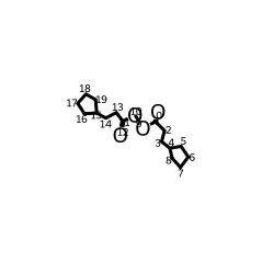 O=C(CCC1CCCC1)OOC(=O)CCC1CCCC1